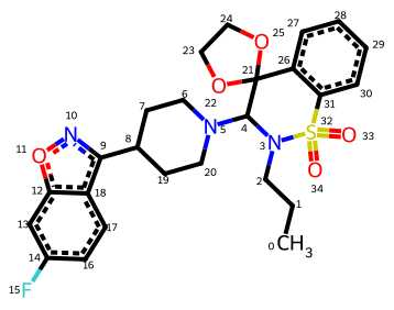 CCCN1C(N2CCC(c3noc4cc(F)ccc34)CC2)C2(OCCO2)c2ccccc2S1(=O)=O